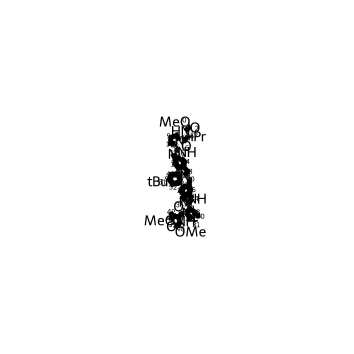 COC(=O)N[C@H](C(=O)N1CCC[C@H]1c1nc2ccc(CN(Cc3ccc4nc([C@@H]5C[Si](C)(C)CN5C(=O)[C@@H](NC(=O)OC)C(C)OC)[nH]c4c3)c3ccc(C(C)(C)C)cc3)cc2[nH]1)C(C)C